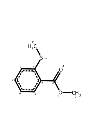 COC(=O)c1ccc[c]c1SC